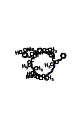 CO[C@@H]1C[C@H](CC(C)[C@@H]2CC(=O)[C@H](C)/C=C(\C)[C@@H](O)[C@@H](OC)C(=O)[C@H](C)C[C@H](C)/C=C/C=C/C=C(\C)[C@@H](OCCc3ccccc3)C[C@@H]3CC[C@@H](C)[C@@](O)(O3)C(=O)C(=O)N3CCCC[C@H]3C(=O)O2)CC[C@H]1O